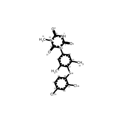 Cc1cc(-n2c(=O)[nH]c(=O)n(C)c2=O)cc(C)c1Sc1ccc(Cl)cc1Cl